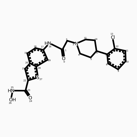 O=C(CN1CCC(c2ccccc2Cl)CC1)Nc1ccc2cc(C(=O)NO)sc2c1